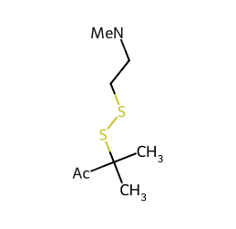 CNCCSSC(C)(C)C(C)=O